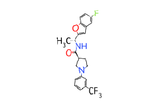 C[C@@H](NC(=O)[C@H]1CCN(c2cccc(C(F)(F)F)c2)C1)c1cc2cc(F)ccc2o1